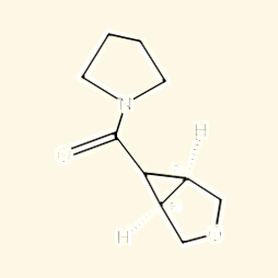 O=C(C1[C@H]2COC[C@@H]12)N1CCCC1